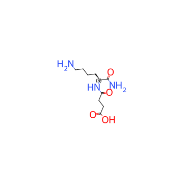 NCCCC[C@H](NC(=O)CCC(=O)O)C(N)=O